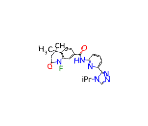 CC(C)n1cnnc1-c1cccc(NC(=O)c2ccc3c(c2)N(F)C(=O)CC3(C)C)n1